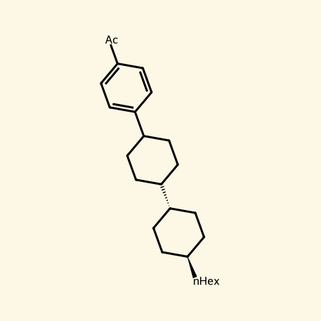 CCCCCC[C@H]1CC[C@H](C2CCC(c3ccc(C(C)=O)cc3)CC2)CC1